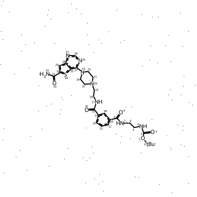 CC(C)(C)OC(=O)NCCNC(=O)c1cccc(C(=O)NCCN2CCN(c3ncnc4cc(C(N)=O)sc34)CC2)c1